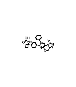 O=C(O)NC1(c2ccc(-c3nc4c(cc3-c3ccccc3)-n3c(Br)nnc3CO4)cc2)CCC1